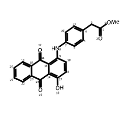 COC(=O)Cc1ccc(Nc2ccc(O)c3c2C(=O)c2ccccc2C3=O)cc1